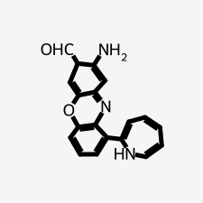 NC1=CC2=Nc3c(cccc3C3=CC=CC=CN3)OC2=CC1C=O